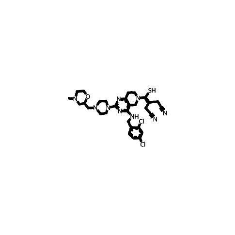 CN1CCOC(CN2CCN(c3nc4c(c(NCc5ccc(Cl)cc5Cl)n3)CN(C(S)=C(CC#N)CC#N)CC4)CC2)C1